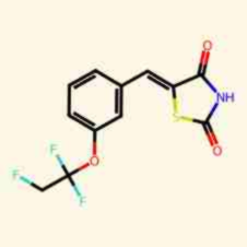 O=C1NC(=O)C(=Cc2cccc(OC(F)(F)CF)c2)S1